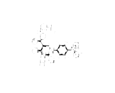 CCOC(=O)c1cn(-c2ccc([N+](=O)[O-])cc2)c(=O)[nH]c1=O